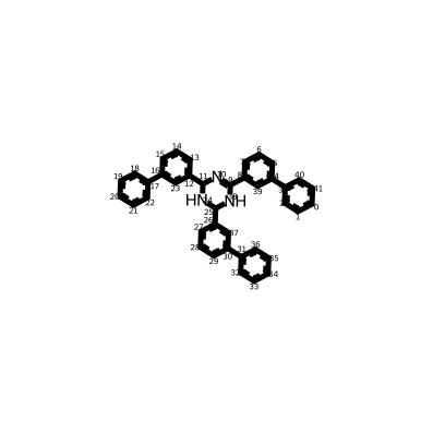 c1ccc(-c2cccc(C3=NC(c4cccc(-c5ccccc5)c4)NC(c4cccc(-c5ccccc5)c4)N3)c2)cc1